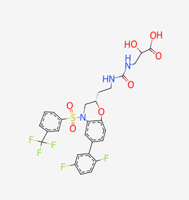 O=C(NCC[C@H]1CN(S(=O)(=O)c2cccc(C(F)(F)F)c2)c2cc(-c3cc(F)ccc3F)ccc2O1)NCC(O)C(=O)O